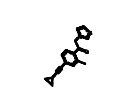 Cc1cc(C#CC2CC2)ccc1C(=O)Cn1ccnc1